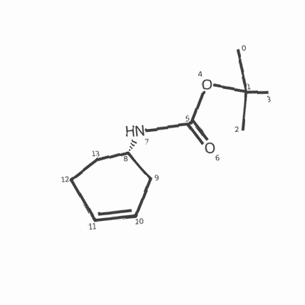 CC(C)(C)OC(=O)N[C@@H]1CC=CCC1